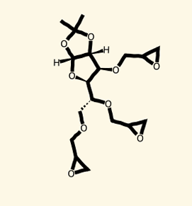 CC1(C)O[C@H]2O[C@H]([C@@H](COCC3CO3)OCC3CO3)[C@H](OCC3CO3)[C@H]2O1